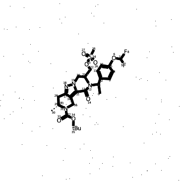 CC(c1ccc(OC(F)F)cc1)N1C(=O)c2c3c(nn2CC1COS(C)(=O)=O)C[C@@H](C)N(C(=O)OC(C)(C)C)C3